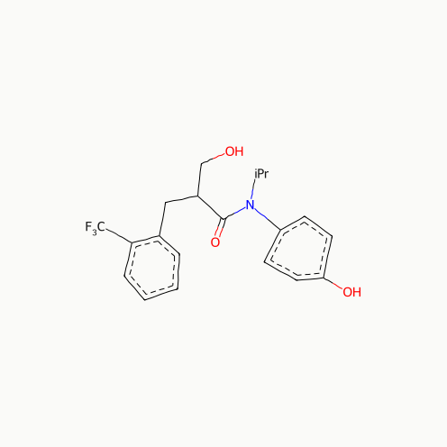 CC(C)N(C(=O)C(CO)Cc1ccccc1C(F)(F)F)c1ccc(O)cc1